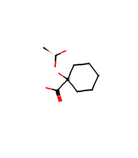 C[C@@H](O)OC1(C(=O)O)CCCCC1